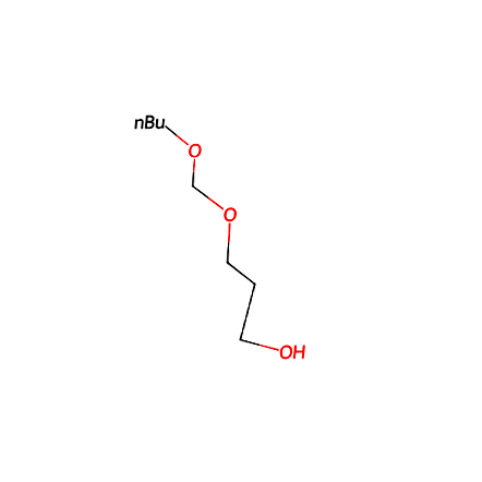 CCCCOCOCCCO